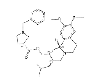 COc1cc2c(cc1OC)[C@H]1C[C@@H](COC(=O)[C@@H]3CCN(Cc4ccccc4)C3)[C@H](CC(C)C)CN1CC2